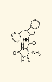 C=C1NC(=O)NC(C(=O)NC2Cc3ccccc3C2Cc2ccccc2)=C1N